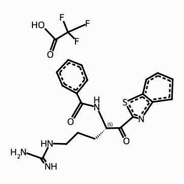 N=C(N)NCCC[C@H](NC(=O)c1ccccc1)C(=O)c1nc2ccccc2s1.O=C(O)C(F)(F)F